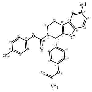 CC(=O)Oc1ccc([C@H]2c3[nH]c4ccc(Cl)cc4c3CCN2C(=O)Oc2ccc(Cl)cc2)cc1